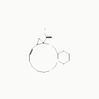 COC(=O)C12CC1C=CCCCCNCN1CCCCC1CN2